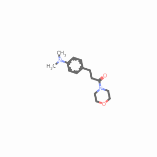 CN(C)c1ccc(CCC(=O)N2CCOCC2)cc1